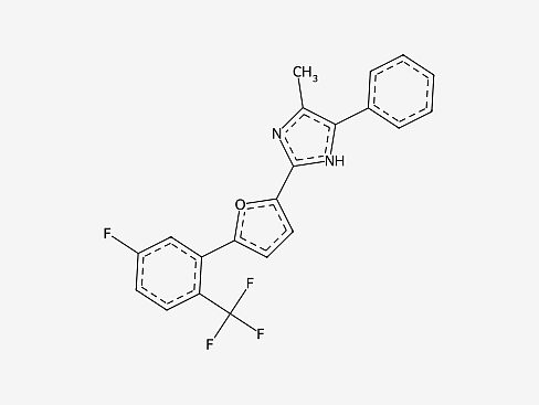 Cc1nc(-c2ccc(-c3cc(F)ccc3C(F)(F)F)o2)[nH]c1-c1ccccc1